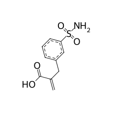 C=C(Cc1cccc(S(N)(=O)=O)c1)C(=O)O